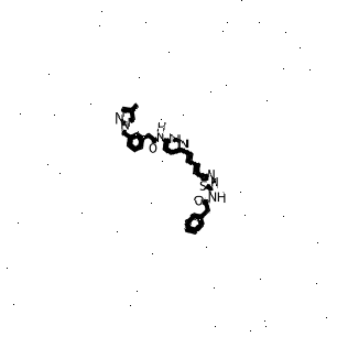 CC1C=NN(Cc2cccc(CC(=O)Nc3ccc(CCCCc4nnc(NC(=O)Cc5ccccc5)s4)nn3)c2)C1